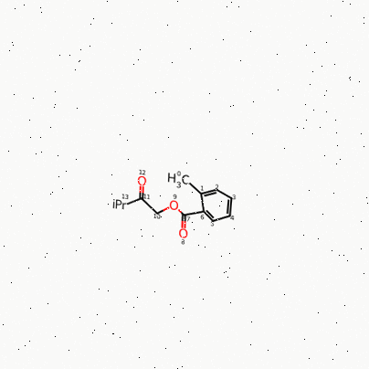 Cc1ccccc1C(=O)OCC(=O)C(C)C